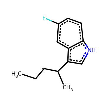 CC[CH]C(C)c1c[nH]c2ccc(F)cc12